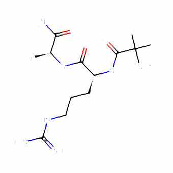 CCC(CC)(NC(C)=O)C(=O)N[C@@H](CCCNC(=N)N)C(=O)N[C@H](C(N)=O)C(C)C